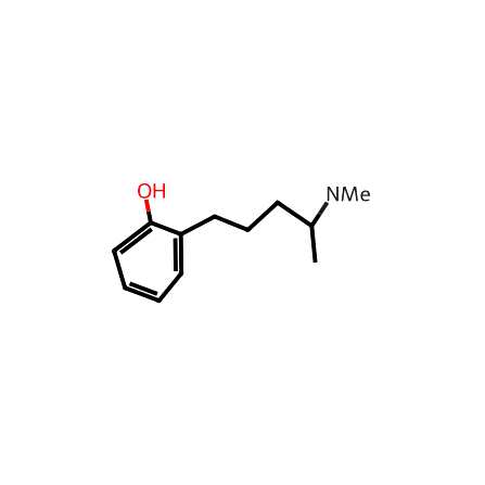 CNC(C)CCCc1ccccc1O